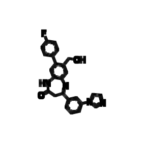 O=C1CC(c2cccc(-n3ccnc3)c2)=Nc2cc(CO)c(-c3ccc(F)cc3)cc2N1